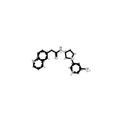 O=C(Cc1ccc2ncccc2c1)N[C@@H]1CCN(c2cncc(C(F)(F)F)c2)C1